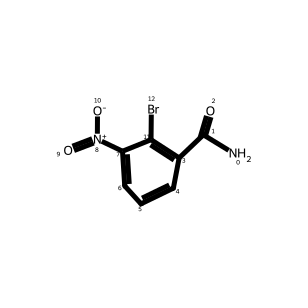 NC(=O)c1cccc([N+](=O)[O-])c1Br